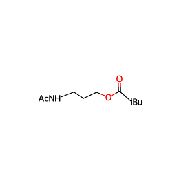 CCC(C)C(=O)OCCCNC(C)=O